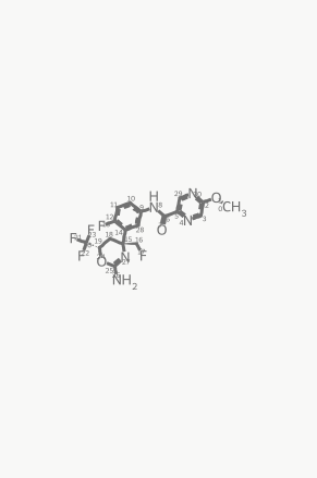 COc1cnc(C(=O)Nc2ccc(F)c([C@@]3(CF)C[C@@H](C(F)(F)F)OC(N)=N3)c2)cn1